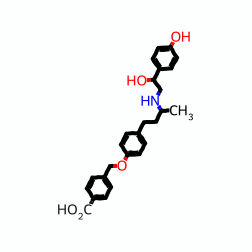 CC(CCc1ccc(OCc2ccc(C(=O)O)cc2)cc1)NCC(O)c1ccc(O)cc1